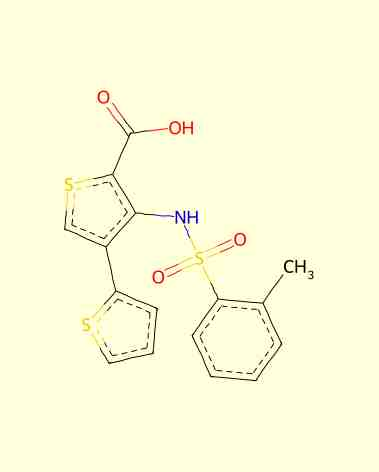 Cc1ccccc1S(=O)(=O)Nc1c(-c2cccs2)csc1C(=O)O